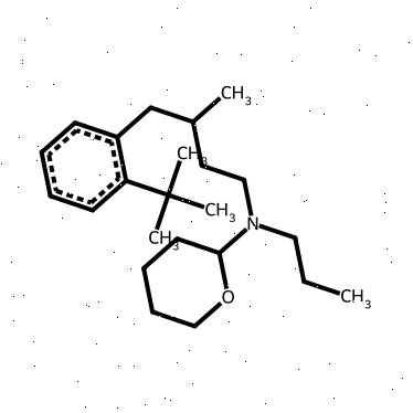 CCCN(CCC(C)Cc1ccccc1C(C)(C)C)C1CCCCO1